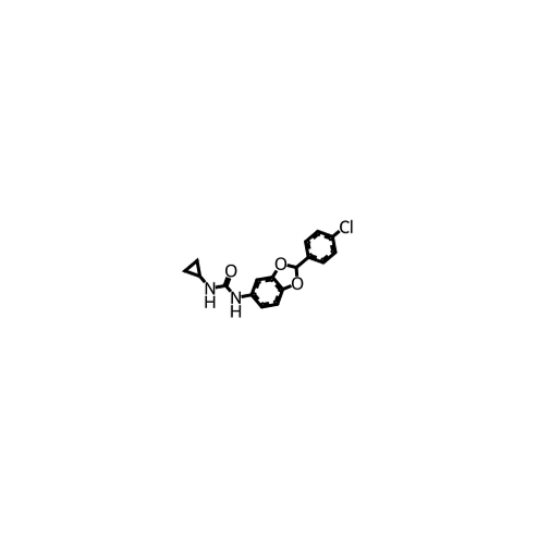 O=C(Nc1ccc2c(c1)OC(c1ccc(Cl)cc1)O2)NC1CC1